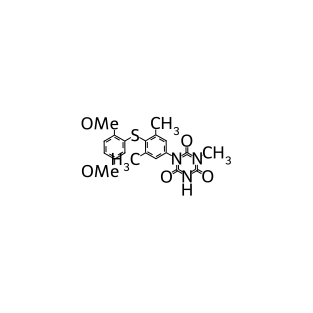 COc1ccc(OC)c(Sc2c(C)cc(-n3c(=O)[nH]c(=O)n(C)c3=O)cc2C)c1